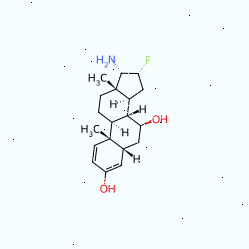 C[C@]12C=CC(O)=C[C@H]1C[C@H](O)[C@@H]1[C@@H]2CC[C@]2(C)[C@H](N)[C@H](F)C[C@@H]12